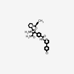 CC#CC(=O)N1CCCCC1c1nc(-c2ccc(C(=O)Nc3cc(-c4ccc(Cl)cc4)ccn3)cc2)c(C(N)=O)n1N